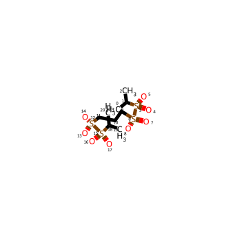 CC(C)S(=O)(=O)S(=O)(=O)CCCS(=O)(=O)S(=O)(=O)C(C)C